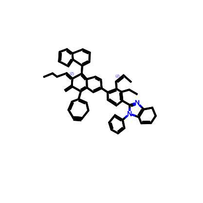 C=c1c(C2=CCC#CC=C2)c2cc(-c3ccc(-c4nc5c(n4-c4ccccc4)C=CCC5)c(CC)c3/C=C\C)ccc2c(-c2cccc3ccccc23)/c1=C/CCC